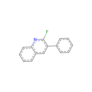 Fc1nc2ccccc2cc1-c1ccccc1